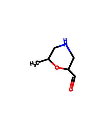 CC1CNCC(C=O)O1